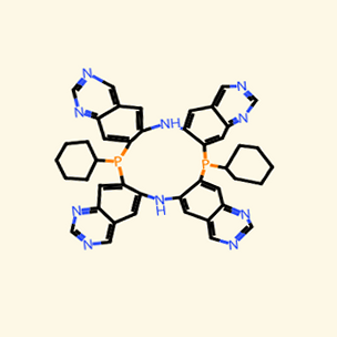 c1ncc2cc3c(cc2n1)P(C1CCCCC1)c1cc2ncncc2cc1Nc1cc2cncnc2cc1P(C1CCCCC1)c1cc2ncncc2cc1N3